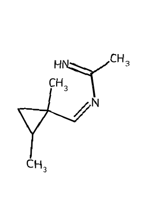 CC(=N)/N=C\C1(C)CC1C